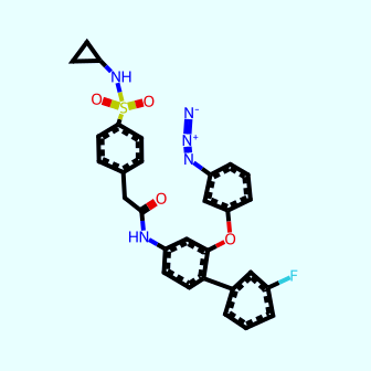 [N-]=[N+]=Nc1cccc(Oc2cc(NC(=O)Cc3ccc(S(=O)(=O)NC4CC4)cc3)ccc2-c2cccc(F)c2)c1